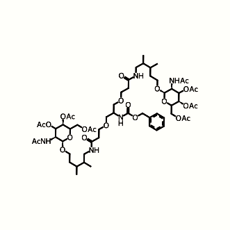 CC(=O)N[C@H]1C(OC(C)=O)[C@@H](OC(C)=O)C(COC(C)=O)O[C@H]1OCCC(C)C(C)CNC(=O)CCOCC(COCCC(=O)NCC(C)C(C)CCO[C@@H]1OC(COC(C)=O)[C@H](OC(C)=O)C(OC(C)=O)[C@@H]1NC(C)=O)NC(=O)OCc1ccccc1